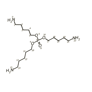 NCCCCCOP(=O)(OCCCCCN)OCCCCCN